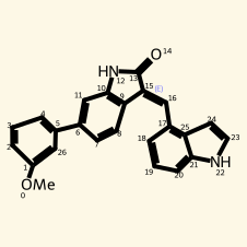 COc1cccc(-c2ccc3c(c2)NC(=O)/C3=C/c2cccc3[nH]ccc23)c1